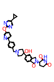 O=C1CCC(N2Cc3cc(C4(O)CCN(Cc5ccc(-c6ccc(Oc7ncc(C8CC8)cn7)cn6)cc5)CC4)ccc3C2=O)C(=O)N1